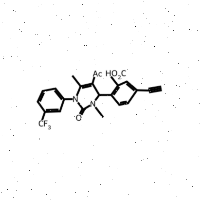 C#Cc1ccc(C2C(C(C)=O)=C(C)N(c3cccc(C(F)(F)F)c3)C(=O)N2C)c(C(=O)O)c1